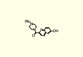 CC(C)(C)N1CCN(C(=O)c2ccc3cc(O)ccc3n2)CC1